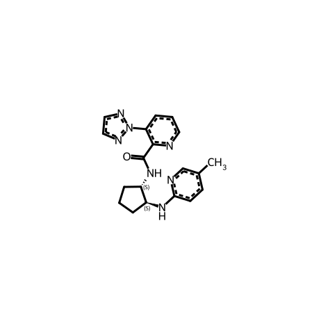 Cc1ccc(N[C@H]2CCC[C@@H]2NC(=O)c2ncccc2-n2nccn2)nc1